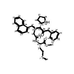 COC(=O)[C@H](CCSC)NC(=O)CN(Cc1cccc2ccccc12)C(C(=O)Cc1cccnc1)[C@@H]1CCCN1